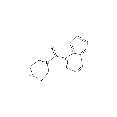 O=C(c1cccc2ccccc12)N1CCNCC1